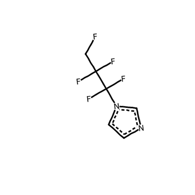 FCC(F)(F)C(F)(F)n1ccnc1